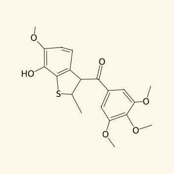 COc1ccc2c(c1O)SC(C)C2C(=O)c1cc(OC)c(OC)c(OC)c1